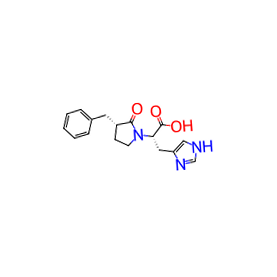 O=C(O)[C@H](Cc1c[nH]cn1)N1CC[C@H](Cc2ccccc2)C1=O